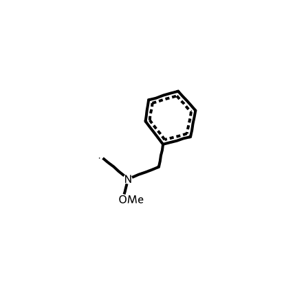 [CH2]N(Cc1ccccc1)OC